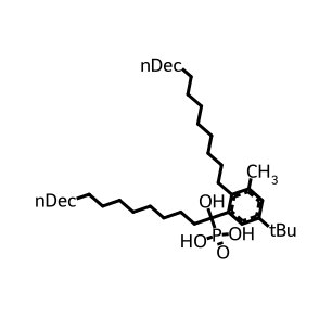 CCCCCCCCCCCCCCCCCCc1c(C)cc(C(C)(C)C)cc1C(O)(CCCCCCCCCCCCCCCCCC)P(=O)(O)O